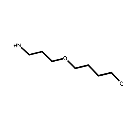 [NH]CCCOCCCCO